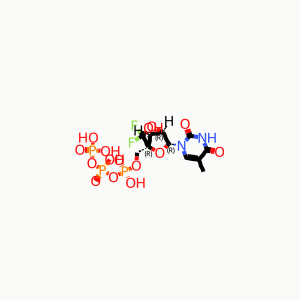 Cc1cn([C@@H]2O[C@]3(COP(=O)(O)OP(=O)(O)OP(=O)(O)O)[C@@H](O)[C@H]2OC3(F)F)c(=O)[nH]c1=O